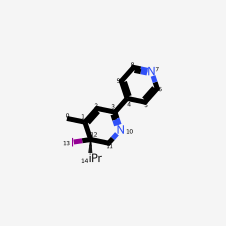 CC1=CC(c2ccncc2)=NC[C@@]1(I)C(C)C